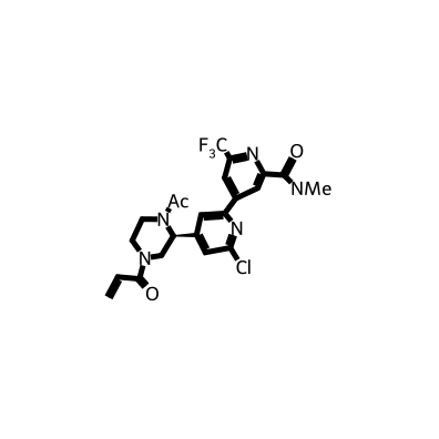 C=CC(=O)N1CCN(C(C)=O)[C@@H](c2cc(Cl)nc(-c3cc(C(=O)NC)nc(C(F)(F)F)c3)c2)C1